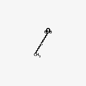 CCCCCCCCCCSCCCCCCCCCCN1C(=O)CCCCC1=O